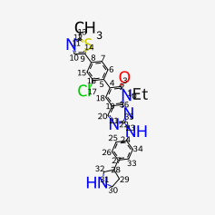 CCn1c(=O)c(-c2ccc(-c3cnc(C)s3)cc2Cl)cc2cnc(Nc3ccc(C4CCNC4)cc3)nc21